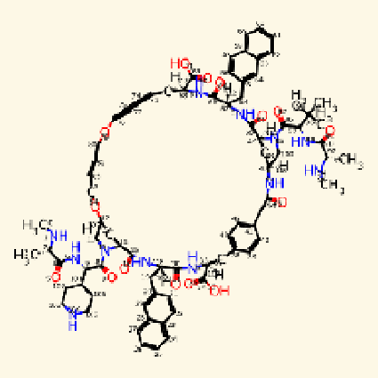 CN[C@@H](C)C(=O)N[C@H](C(=O)N1C[C@@H]2CC1C(=O)N[C@@H](Cc1ccc3ccccc3c1)C(=O)N[C@H](C(=O)O)Cc1ccc(cc1)C(=O)N[C@H]1C[C@@H](C(=O)N[C@@H](Cc3ccc4ccccc4c3)C(=O)N[C@H](C(=O)O)Cc3ccc(cc3)OC/C=C/CO2)N(C(=O)[C@@H](NC(=O)[C@H](C)NC)C(C)(C)C)C1)C1CCNCC1